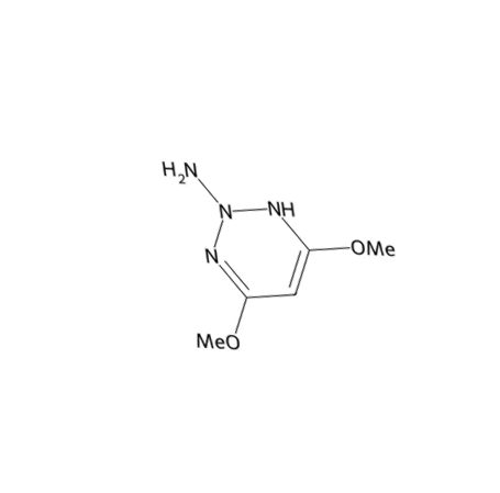 COC1=CC(OC)=NN(N)N1